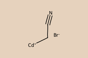 N#C[CH2][Cd+].[Br-]